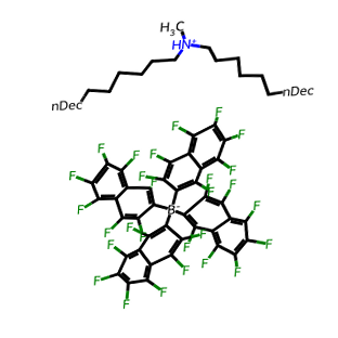 CCCCCCCCCCCCCCCC[NH+](C)CCCCCCCCCCCCCCCC.Fc1c(F)c(F)c2c(F)c([B-](c3c(F)c(F)c4c(F)c(F)c(F)c(F)c4c3F)(c3c(F)c(F)c4c(F)c(F)c(F)c(F)c4c3F)c3c(F)c(F)c4c(F)c(F)c(F)c(F)c4c3F)c(F)c(F)c2c1F